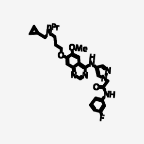 CCCN(CCCOc1cc2ncnc(Nc3cnn(CC(=O)Nc4cccc(F)c4)c3)c2cc1OC)CC1CC1